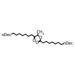 CCCCCCCCCCCCCCCCCC(=O)OC(C)C(=O)CCCCCCCCCCCCCCCCC